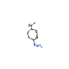 C[Se]c1ccc(N)cc1